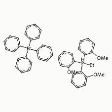 CC[PH](c1ccccc1OC)(c1ccccc1OC)c1ccccc1OC.c1ccc([B-](c2ccccc2)(c2ccccc2)c2ccccc2)cc1